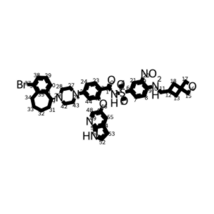 O=C(NS(=O)(=O)c1ccc(NCC2CC3(COC3)C2)c([N+](=O)[O-])c1)c1ccc(N2CCN([C@@H]3CCCCc4c(Br)cccc43)CC2)cc1Oc1cnc2[nH]ccc2c1